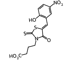 O=C(O)CCCN1C(=O)/C(=C/c2cc([N+](=O)[O-])ccc2O)SC1=S